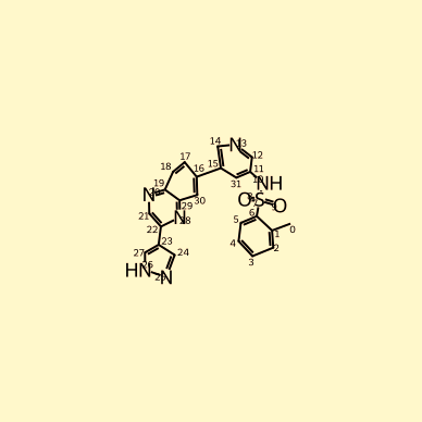 Cc1ccccc1S(=O)(=O)Nc1cncc(-c2ccc3ncc(-c4cn[nH]c4)nc3c2)c1